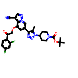 Cc1c(-c2cc(OCC(=O)c3ccc(F)cc3F)c3c(C#N)cnn3c2)nnn1C1CCN(C(=O)OC(C)(C)C)CC1